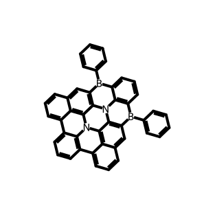 c1ccc(B2c3cccc4c3-n3c5c2cc2cccc6c7cccc8c9cccc%10cc(c3c(c%109)n(c78)c5c26)B4c2ccccc2)cc1